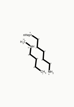 CCCCCCCCCCCCN.CCCCNC